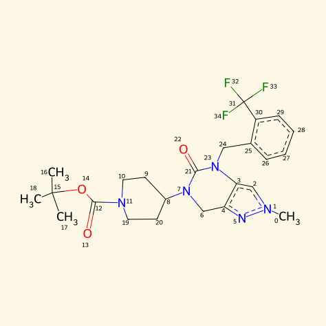 Cn1cc2c(n1)CN(C1CCN(C(=O)OC(C)(C)C)CC1)C(=O)N2Cc1ccccc1C(F)(F)F